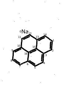 [Na].c1cc2ccc3cccc4ccc(c1)c2c34